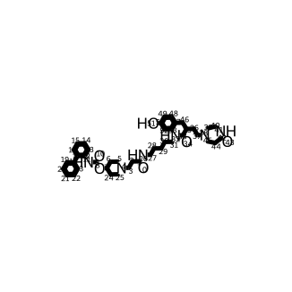 O=C(CCN1CCC(OC(=O)Nc2ccccc2-c2ccccc2)CC1)NCCCCCNC(=O)C(CCN1CCNC(=O)CC1)Cc1ccc(O)cc1